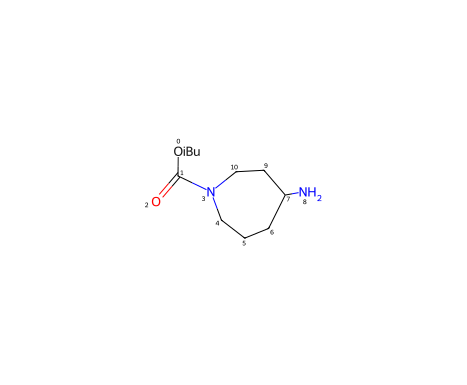 CC(C)COC(=O)N1CCCC(N)CC1